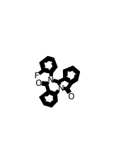 O=C1c2ccccc2N2C(=O)c3ccccc3C2N1c1ccccc1F